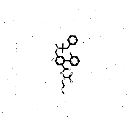 CSCC[C@H](NC(=O)c1ccc(CN(C)C(C)(C)Cc2ccccc2)cc1-c1ccccc1C)C(=O)[O-].[Li+]